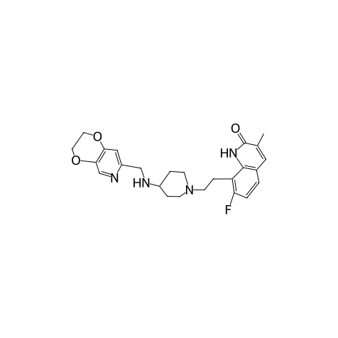 Cc1cc2ccc(F)c(CCN3CCC(NCc4cc5c(cn4)OCCO5)CC3)c2[nH]c1=O